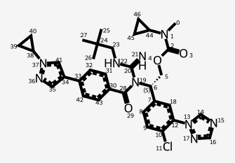 CN(C(=O)OC[C@H](c1ccc(Cl)c(-n2cncn2)c1)N(C(=N)NCC(C)(C)C)C(=O)c1ccc(-c2cnn(C3CC3)c2)cc1)C1CC1